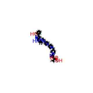 CC(C)C(C(=O)O)c1cc(N2CCC(CN3CCC(N4CCC(N5CCN6c7cc(-c8ccccc8O)nnc7NC[C@H]6C5)CC4)CC3)CC2)no1